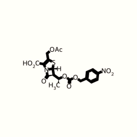 CC(=O)OCC1=C(C(=O)O)N2C(=O)[C@H]([C@@H](C)OC(=O)OCc3ccc([N+](=O)[O-])cc3)[C@H]2S1